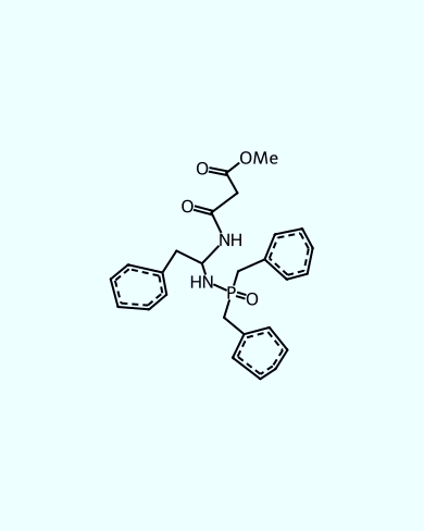 COC(=O)CC(=O)NC(Cc1ccccc1)NP(=O)(Cc1ccccc1)Cc1ccccc1